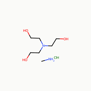 CN.Cl.OCCN(CCO)CCO